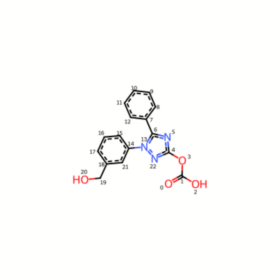 O=C(O)Oc1nc(-c2ccccc2)n(-c2cccc(CO)c2)n1